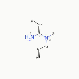 C=CCN(C)C(N)=CC